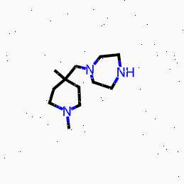 CN1CCC(C)(CN2CCNCC2)CC1